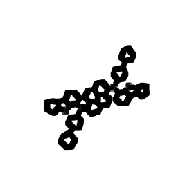 c1ccc(-c2ccc(N(c3ccc4ccc5c(N(c6ccc(-c7ccccc7)cc6)c6cccc7c6sc6ccccc67)ccc6ccc3c4c65)c3cccc4c3sc3ccccc34)cc2)cc1